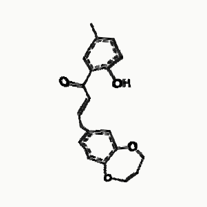 Cc1ccc(O)c(C(=O)C=Cc2ccc3c(c2)OCCCO3)c1